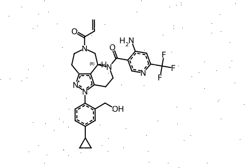 C=CC(=O)N1CCc2nn(-c3ccc(C4CC4)cc3CO)c3c2[C@H](C1)N(C(=O)c1cnc(C(F)(F)F)cc1N)CC3